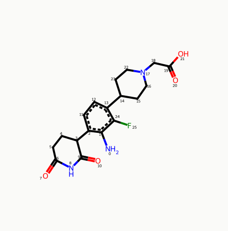 Nc1c(C2CCC(=O)NC2=O)ccc(C2CCN(CC(=O)O)CC2)c1F